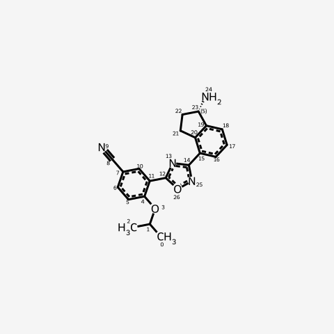 CC(C)Oc1ccc(C#N)cc1-c1nc(-c2cccc3c2CC[C@@H]3N)no1